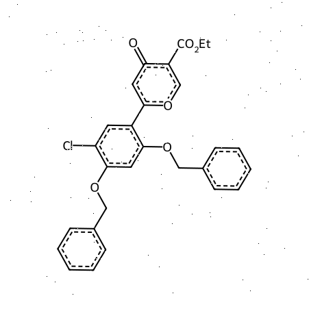 CCOC(=O)c1coc(-c2cc(Cl)c(OCc3ccccc3)cc2OCc2ccccc2)cc1=O